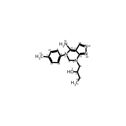 CCC(O)CN1CN(c2ccc(C)cc2)C(N)=C2C=NN=C21